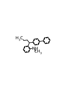 CCCC(c1ccc(-c2ccccc2)cc1)c1ccccc1NC